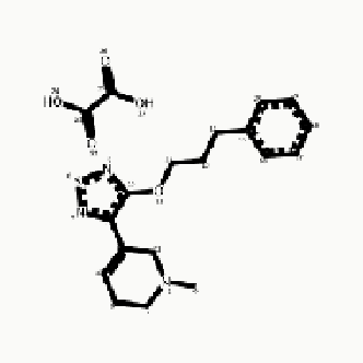 CN1CCC=C(c2nsnc2OCCCc2ccccc2)C1.O=C(O)C(=O)O